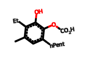 CCCCCc1cc(C)c(CC)c(O)c1OC(=O)O